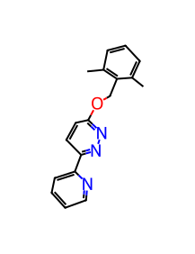 Cc1cccc(C)c1COc1ccc(-c2ccccn2)nn1